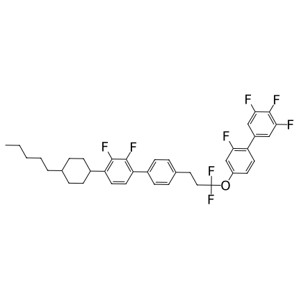 CCCCCC1CCC(c2ccc(-c3ccc(CCC(F)(F)Oc4ccc(-c5cc(F)c(F)c(F)c5)c(F)c4)cc3)c(F)c2F)CC1